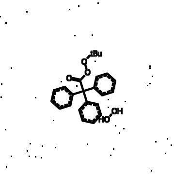 CC(C)(C)OOC(=O)C(c1ccccc1)(c1ccccc1)c1ccccc1.OO